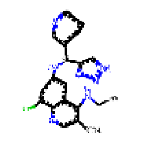 CC(C)(C)CNc1c(C#N)cnc2c(Cl)cc(N[C@@H](c3cccnc3)c3c[nH]nn3)cc12